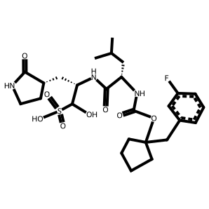 CC(C)C[C@H](NC(=O)OC1(Cc2cccc(F)c2)CCCC1)C(=O)N[C@@H](C[C@@H]1CCNC1=O)C(O)S(=O)(=O)O